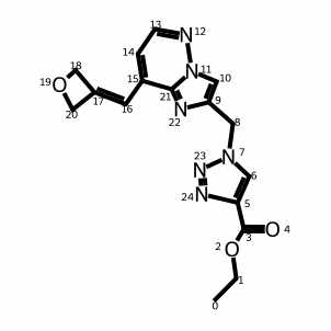 CCOC(=O)c1cn(Cc2cn3nccc(C=C4COC4)c3n2)nn1